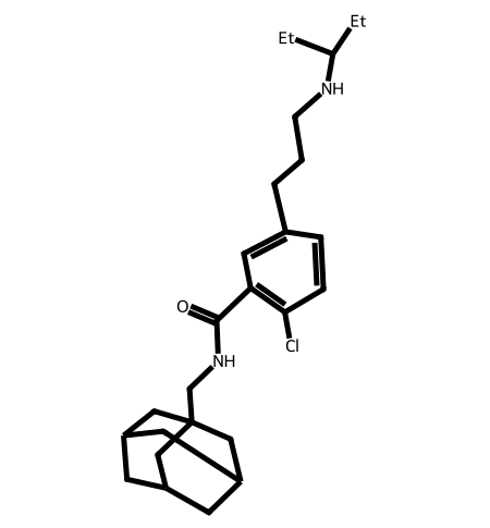 CCC(CC)NCCCc1ccc(Cl)c(C(=O)NCC23CC4CC(CC(C4)C2)C3)c1